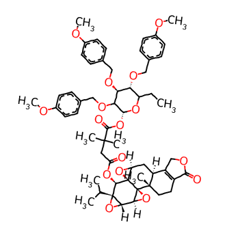 CCC1O[C@H](OC(=O)C(C)(C)CC(=O)O[C@@H]2[C@@]3(C(C)C)O[C@H]3[C@@H]3O[C@]34[C@]23O[C@H]3C[C@H]2C3=C(CC[C@@]24C)C(=O)OC3)C(OCc2ccc(OC)cc2)[C@@H](OCc2ccc(OC)cc2)[C@@H]1OCc1ccc(OC)cc1